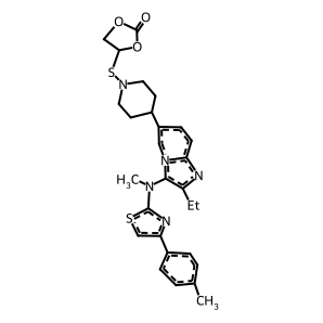 CCc1nc2ccc(C3CCN(SC4COC(=O)O4)CC3)cn2c1N(C)c1nc(-c2ccc(C)cc2)cs1